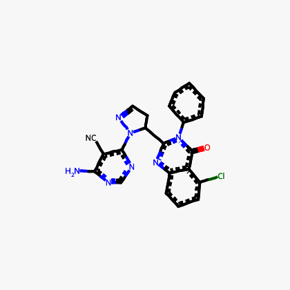 N#Cc1c(N)ncnc1N1N=CCC1c1nc2cccc(Cl)c2c(=O)n1-c1ccccc1